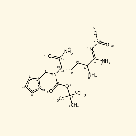 CC(C)(C)OC(=O)N(Cc1cccs1)[C@@H](CCC(N)C(N)=N[N+](=O)[O-])C(N)=O